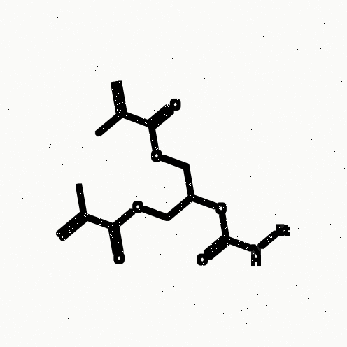 C=C(C)C(=O)OCC(COC(=O)C(=C)C)OC(=O)NCC